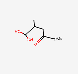 COC(=O)CC(C)C(O)O